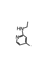 [CH2]c1ccnc(NCC)c1